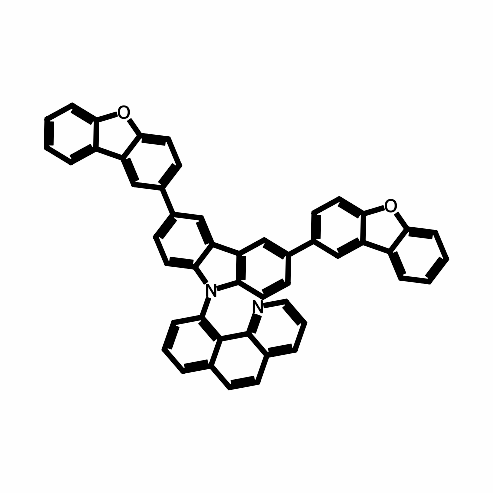 c1cnc2c(c1)ccc1cccc(-n3c4ccc(-c5ccc6oc7ccccc7c6c5)cc4c4cc(-c5ccc6oc7ccccc7c6c5)ccc43)c12